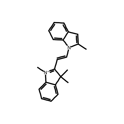 Cc1cc2ccccc2n1C=CC1=[N+](C)c2ccccc2C1(C)C